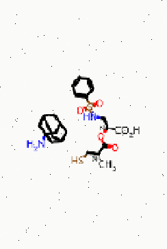 C[C@H](CS)C(=O)O[C@@H](CNS(=O)(=O)c1ccccc1)C(=O)O.NC12CC3CC(CC(C3)C1)C2